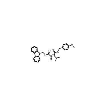 COc1ccc(COC(=O)[C@@H](NC(=O)OCC2c3ccccc3-c3ccccc32)C(C)C)cc1